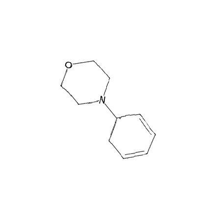 C1=CC[C](N2CCOCC2)C=C1